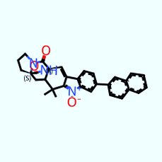 CC1(C)C2=[N+]([O-])c3cc(-c4ccc5ccccc5c4)ccc3C2=C[C@@]23NC(=O)[C@]4(CCCN4C2=O)CC13